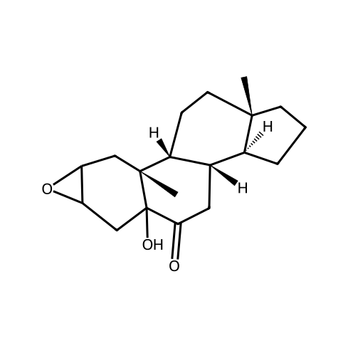 C[C@@]12CCC[C@H]1[C@@H]1CC(=O)C3(O)CC4OC4C[C@]3(C)[C@@H]1CC2